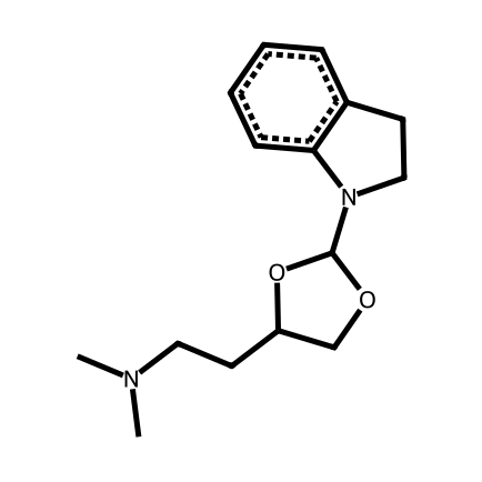 CN(C)CCC1COC(N2CCc3ccccc32)O1